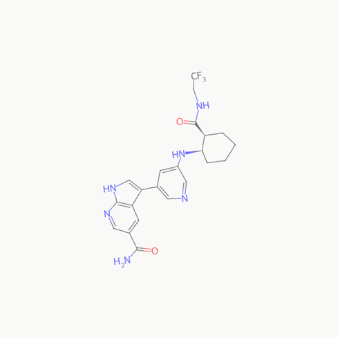 NC(=O)c1cnc2[nH]cc(-c3cncc(N[C@@H]4CCCC[C@@H]4C(=O)NCC(F)(F)F)c3)c2c1